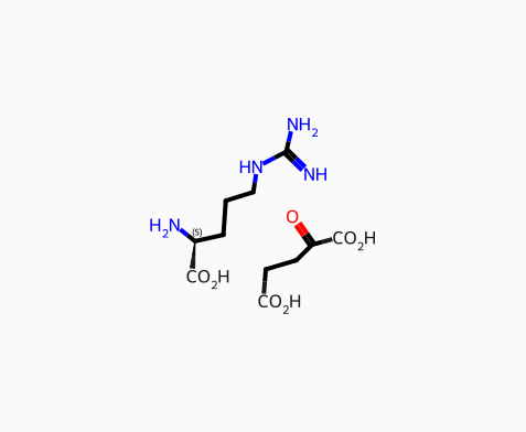 N=C(N)NCCC[C@H](N)C(=O)O.O=C(O)CCC(=O)C(=O)O